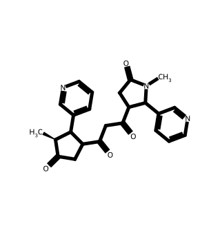 C[C@@H]1C(=O)CC(C(=O)CC(=O)C2CC(=O)N(C)C2c2cccnc2)C1c1cccnc1